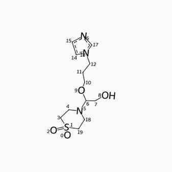 O=S1(=O)CCN(C(CO)OCCCn2ccnc2)CC1